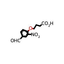 O=Cc1ccc(OCCCC(=O)O)c([N+](=O)[O-])c1